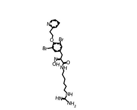 N=C(N)NCCCCCCNC(=O)C(Cc1cc(Br)c(OCCc2ccccn2)c(Br)c1)=NO